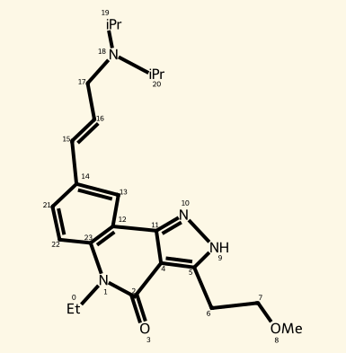 CCn1c(=O)c2c(CCOC)[nH]nc2c2cc(C=CCN(C(C)C)C(C)C)ccc21